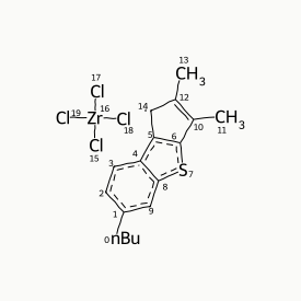 CCCCc1ccc2c3c(sc2c1)C(C)=C(C)[CH]3.[Cl][Zr]([Cl])([Cl])[Cl]